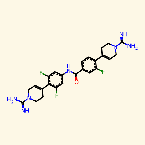 N=C(N)N1CC=C(c2ccc(C(=O)Nc3cc(F)c(C4=CCN(C(=N)N)CC4)c(F)c3)cc2F)CC1